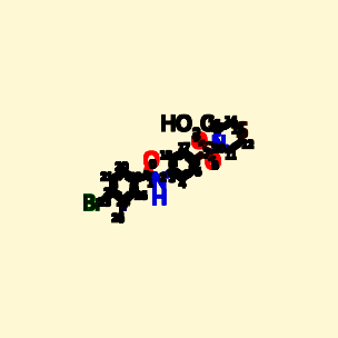 O=C(Nc1ccc(S(=O)(=O)N2CCSCC2C(=O)O)cc1)c1ccc(Br)c(I)c1